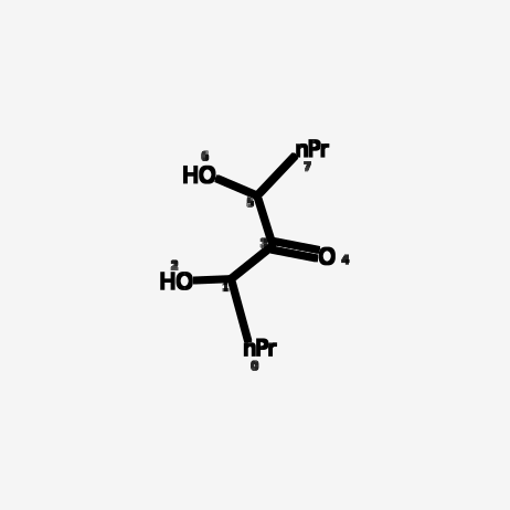 CCCC(O)C(=O)C(O)CCC